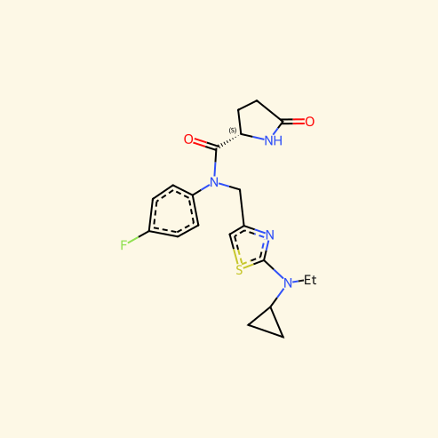 CCN(c1nc(CN(C(=O)[C@@H]2CCC(=O)N2)c2ccc(F)cc2)cs1)C1CC1